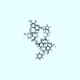 CC[C@H]1[C@H]2[C@H](C)Oc3nc(Cl)c(F)c4nc(OC[C@@]56CCCN5CC(C/C=C\CS(=O)(=O)c5nc(N(Cc7ccccc7)Cc7ccc(OC)cc7)c(F)cc5C(F)(F)F)C6)nc(c34)N2CCN1C(=O)OC(C)(C)C